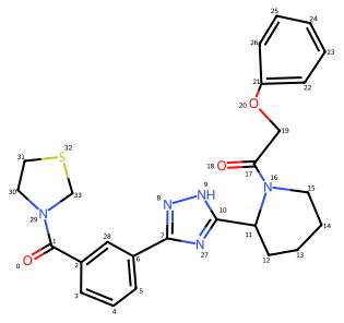 O=C(c1cccc(-c2n[nH]c(C3CCCCN3C(=O)COc3ccccc3)n2)c1)N1CCSC1